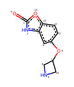 O=c1[nH]c2cc(OC3CNC3)ccc2o1